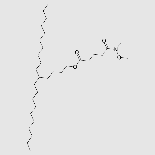 CCCCCCCCCCC(CCCCCCCCCC)CCCCOC(=O)CCCC(=O)N(C)OC